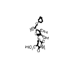 O=C(O)c1cn([C@@H]2O[C@H](C(O)=COc3ccccc3)[C@@H](O)[C@H]2O)c(=O)[nH]c1=O